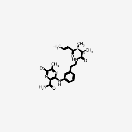 [CH2]C=CC(=O)N(C)[C@@H](C)C(=O)NCCc1cccc(Nc2nc(C)c(CC)nc2C(N)=O)c1